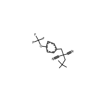 CC(C)(C)CC(C#N)(C#N)Cc1ccc(OC(F)(F)F)cc1